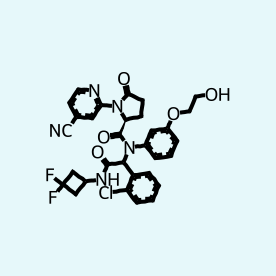 N#Cc1ccnc(N2C(=O)CC[C@H]2C(=O)N(c2cccc(OCCO)c2)C(C(=O)NC2CC(F)(F)C2)c2ccccc2Cl)c1